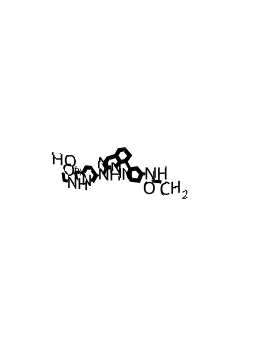 C=CC(=O)Nc1ccnc(-c2cccc3cnc(Nc4ccc([C@@]5(CO)CNCCO5)nc4)nc23)c1